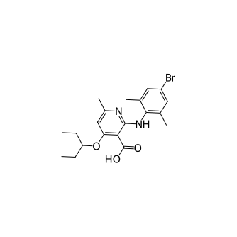 CCC(CC)Oc1cc(C)nc(Nc2c(C)cc(Br)cc2C)c1C(=O)O